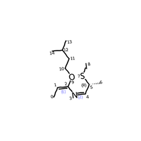 C/C=C(\N=C/[C@@H](C)SI)OCCC(C)C